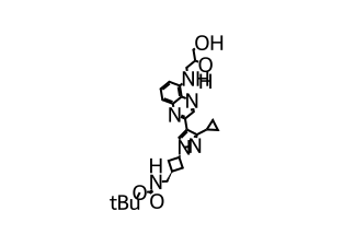 CC(C)(C)OC(=O)NC[C@H]1C[C@H](n2cc(-c3cnc4c(NCC(O)CO)cccc4n3)c(C3CC3)n2)C1